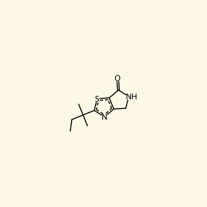 CCC(C)(C)c1nc2c(s1)C(=O)NC2